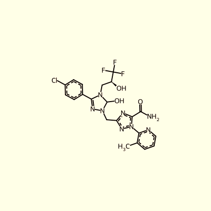 Cc1cccnc1-n1nc(CN2N=C(c3ccc(Cl)cc3)N(C[C@H](O)C(F)(F)F)C2O)nc1C(N)=O